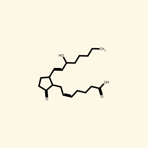 CCCCCC(O)/C=C/C1CCC(=O)C1C/C=C\CCCC(=O)O